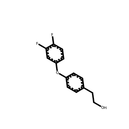 OCCc1ccc(Oc2ccc(F)c(F)c2)cc1